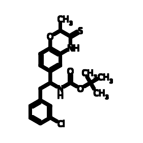 CC1Oc2ccc(C(Cc3cccc(Cl)c3)NC(=O)OC(C)(C)C)cc2NC1=S